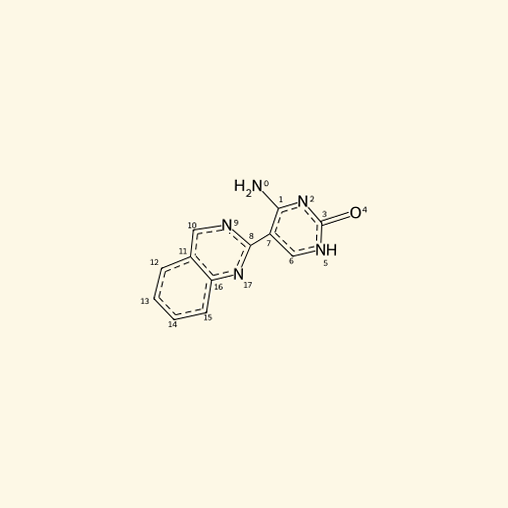 Nc1nc(=O)[nH]cc1-c1ncc2ccccc2n1